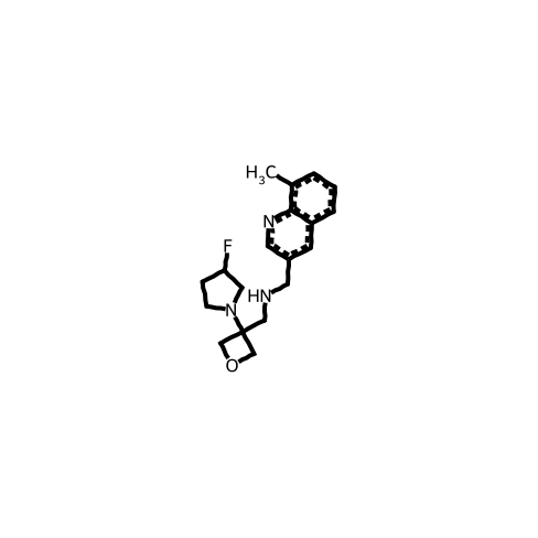 Cc1cccc2cc(CNCC3(N4CCC(F)C4)COC3)cnc12